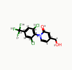 O=c1cc(CO)ccn1-c1c(Cl)cc(C(F)(F)F)cc1Cl